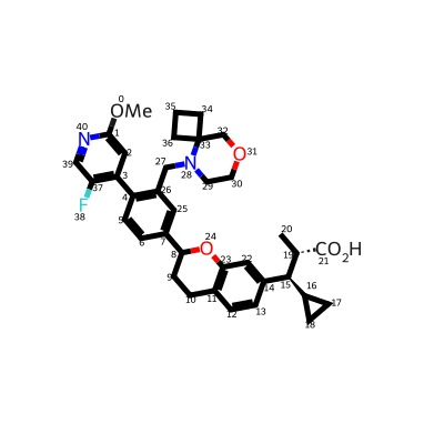 COc1cc(-c2ccc(C3CCc4ccc([C@H](C5CC5)[C@H](C)C(=O)O)cc4O3)cc2CN2CCOCC23CCC3)c(F)cn1